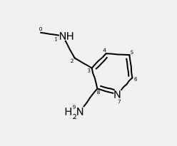 CNCc1cccnc1N